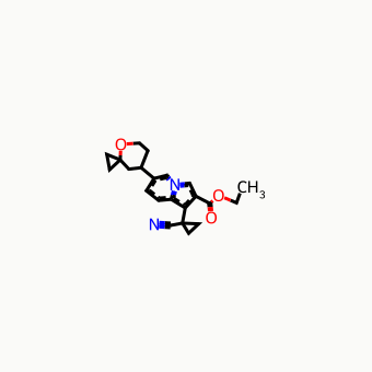 CCOC(=O)c1cn2cc(C3CCOC4(CC4)C3)ccc2c1C1(C#N)CC1